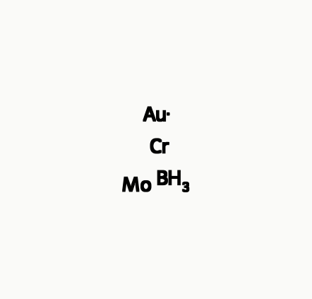 B.[Au].[Cr].[Mo]